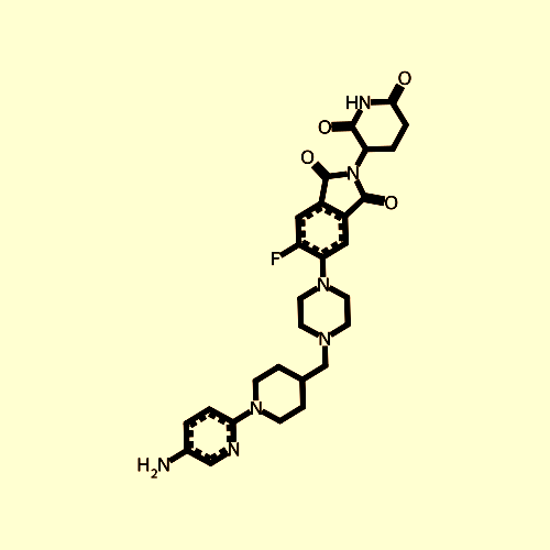 Nc1ccc(N2CCC(CN3CCN(c4cc5c(cc4F)C(=O)N(C4CCC(=O)NC4=O)C5=O)CC3)CC2)nc1